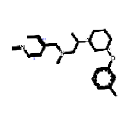 C=N/C=C\C(=C/C)CN(C)CC(C)[C@H]1CCC[C@@H](Oc2cccc(C)c2)C1